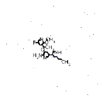 CCCC/C=C(\C=N)c1cnc(N)c(OC(C)c2cc(F)cnc2OC)c1